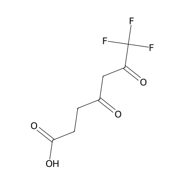 O=C(O)CCC(=O)CC(=O)C(F)(F)F